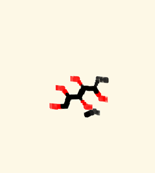 CC(C)=O.O=C[C@H](O)[C@@H](O)[C@H](O)[C@H](O)CO